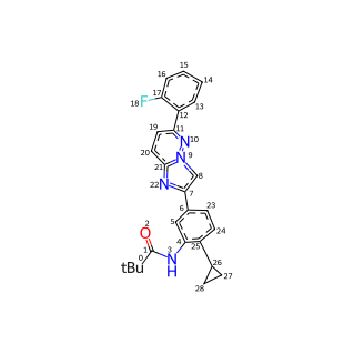 CC(C)(C)C(=O)Nc1cc(-c2cn3nc(-c4ccccc4F)ccc3n2)ccc1C1CC1